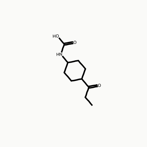 CCC(=O)C1CCC(NC(=O)O)CC1